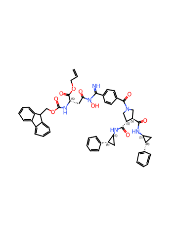 C=CCOC(=O)[C@H](CC(=O)N(O)C(=N)c1ccc(C(=O)N2C[C@@H](C(=O)N[C@H]3C[C@@H]3c3ccccc3)[C@H](C(=O)N[C@H]3C[C@@H]3c3ccccc3)C2)cc1)NC(=O)OCC1c2ccccc2-c2ccccc21